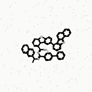 CC(/N=C(\N=C(/N)C1=CC=CC2Oc3ccc(-c4cccc5oc6c7ccccc7ccc6c45)cc3C12)c1ccc(-c2ccccc2)cc1)c1ccc2ccccc2c1